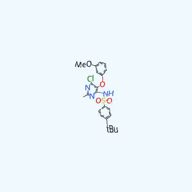 COc1cccc(Oc2c(Cl)nc(C)nc2NS(=O)(=O)c2ccc(C(C)(C)C)cc2)c1